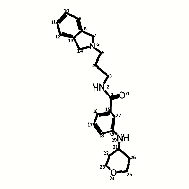 O=C(NCCCN1Cc2ccccc2C1)c1cccc(NC2CCOCC2)c1